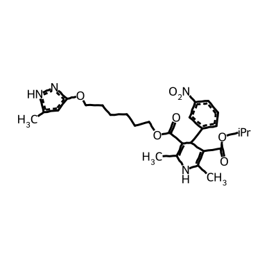 CC1=C(C(=O)OCCCCCCOc2cc(C)[nH]n2)C(c2cccc([N+](=O)[O-])c2)C(C(=O)OC(C)C)=C(C)N1